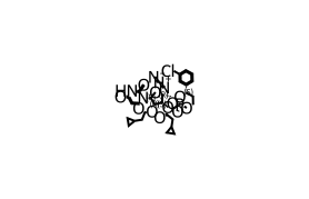 [N-]=[N+]=N[C@]1(COP2(=O)OCC[C@@H](c3cccc(Cl)c3)O2)O[C@@H](n2ccc(=O)[nH]c2=O)[C@H](OC(=O)CC2CC2)[C@@H]1OC(=O)CC1CC1